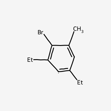 CCc1[c]c(CC)c(Br)c(C)c1